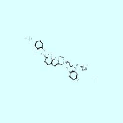 N#Cc1ccc(COc2ccc3cc4n(c3n2)CCN(Cc2nc3ccc(C(=O)O)cc3n2C[C@@H]2CCO2)C4)c(F)c1